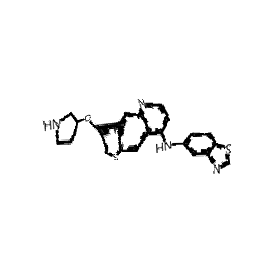 c1cc(Nc2ccc3scnc3c2)c2cc3scc(OC4CCNC4)c3cc2n1